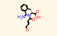 NCc1ccccc1C[C@@H](NC(=O)/C=C/C=O)C(=O)O